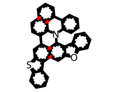 c1ccc(-c2ccccc2N(c2ccccc2-c2ccc3c(c2)sc2ccccc23)c2cccc3oc4ccccc4c23)cc1